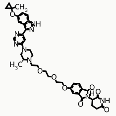 C[C@H]1CN(c2cc(-c3n[nH]c4ccc(OC5(C)CC5)cc34)ncn2)CCN1CCOCCOCCOc1ccc2c(c1)C(=O)N(C1CCC(=O)NC1=O)C2O